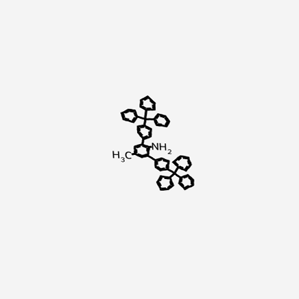 Cc1cc(-c2ccc(C(c3ccccc3)(c3ccccc3)c3ccccc3)cc2)c(N)c(-c2ccc(C(c3ccccc3)(c3ccccc3)c3ccccc3)cc2)c1